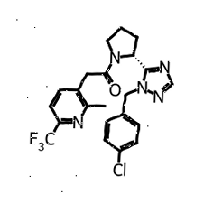 Cc1nc(C(F)(F)F)ccc1CC(=O)N1CCC[C@@H]1c1ncnn1Cc1ccc(Cl)cc1